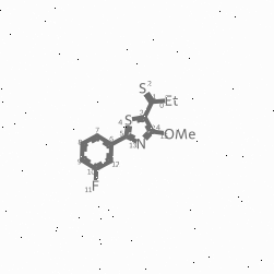 CCC(=S)c1sc(-c2cccc(F)c2)nc1OC